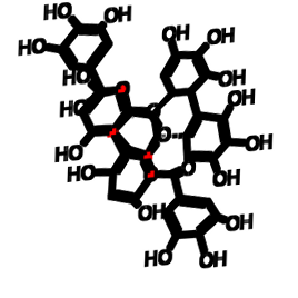 O=C(O[C@@H]1Cc2c(O)cc(O)cc2O[C@@H]1c1cc(O)c(O)c(O)c1C1C(O)=C(O)C(O)=CC1[C@H]1Oc2cc(O)cc(O)c2C[C@H]1OC(O)c1cc(O)c(O)c(O)c1)c1cc(O)c(O)c(O)c1